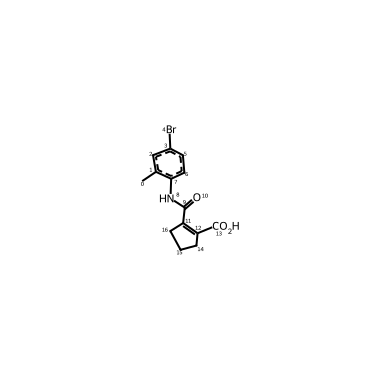 Cc1cc(Br)ccc1NC(=O)C1=C(C(=O)O)CCC1